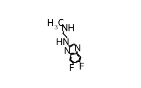 CNCCNc1cnc2cc(F)c(F)cc2n1